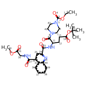 CCOC(=O)N1CCN(C(=O)C(CCC(=O)OC(C)(C)C)NC(=O)c2cc(C(=O)NCC(=O)OC)c3ccccc3n2)CC1